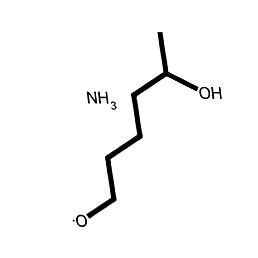 CC(O)CCCC[O].N